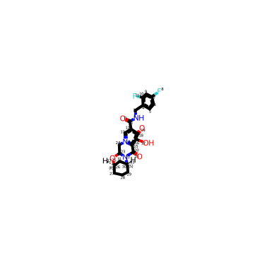 O=C(NCc1ccc(F)cc1F)c1cn2c(c(O)c1=O)C(=O)N1C(C2)O[C@@H]2CCC[C@H]1C2